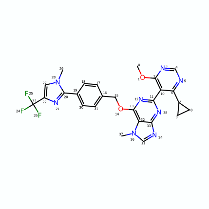 COc1ncnc(C2CC2)c1-c1nc(OCc2ccc(-c3nc(C(F)(F)F)cn3C)cc2)c2c(ncn2C)n1